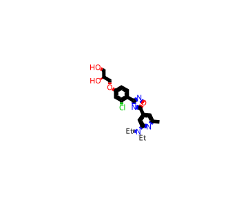 CCN(CC)c1cc(-c2nc(-c3ccc(OC[C@@H](O)CO)cc3Cl)no2)cc(C)n1